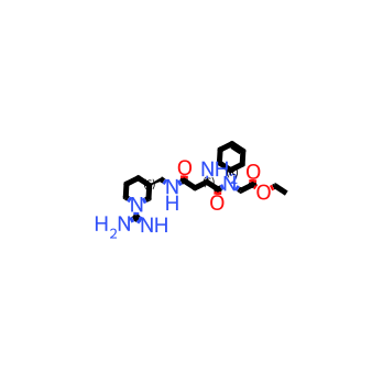 CCOC(=O)CN(C(=O)[C@@H](N)CC(=O)NC[C@@H]1CCCN(C(=N)N)C1)[C@H]1CC=CCC1